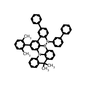 Cc1cccc(C)c1-c1cc2c3c(c1)N1c4ccccc4C(C)(C)c4cccc(c41)B3N(c1cccc(-c3ccccc3)c1)c1ccc(-c3ccccc3)cc1-2